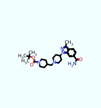 Cc1nn(C2CCN(CC3CCN(C(=O)OC(C)(C)C)CC3)CC2)c2cc(C(N)=O)ccc12